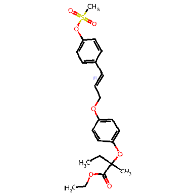 CCOC(=O)C(C)(CC)Oc1ccc(OC/C=C/c2ccc(OS(C)(=O)=O)cc2)cc1